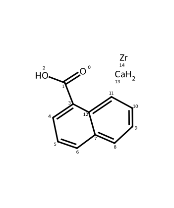 O=C(O)c1cccc2ccccc12.[CaH2].[Zr]